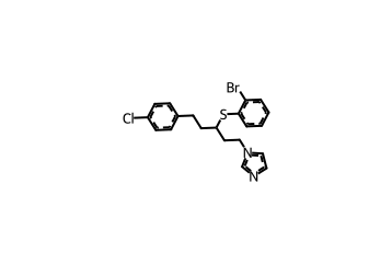 Clc1ccc(CCC(CCn2ccnc2)Sc2ccccc2Br)cc1